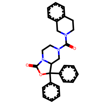 O=C(N1CCc2ccccc2C1)N1CCN2C(=O)OC(c3ccccc3)(c3ccccc3)C2C1